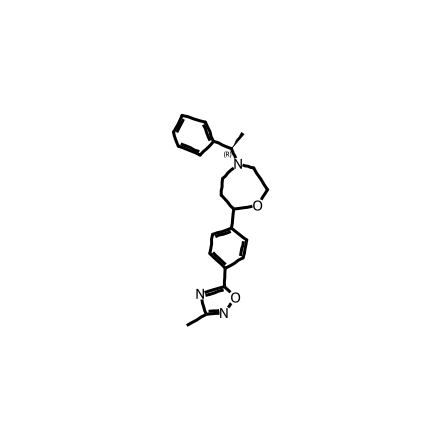 Cc1noc(-c2ccc(C3CCN([C@H](C)c4ccccc4)CCO3)cc2)n1